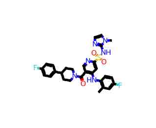 Cc1cc(F)ccc1Nc1cc(S(=O)(=O)Nc2nccn2C)ncc1C(=O)N1CCC(c2ccc(F)cc2)CC1